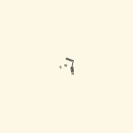 C=CC#N.[N].[S]